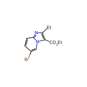 CCOC(=O)c1c(CC)nc2ccc(Br)cn12